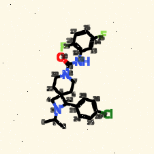 CC(C)N1CC2(CCN(C(=O)Nc3cc(F)ccc3F)CC2)C1c1ccc(Cl)cc1